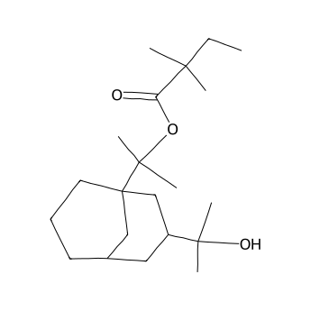 CCC(C)(C)C(=O)OC(C)(C)C12CCCC(CC(C(C)(C)O)C1)C2